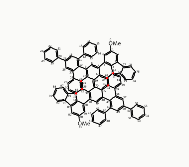 COc1cc2c3c(c1)-c1cc(-c4c(-c5ccccc5)cc(-c5ccccc5)cc4-c4ccccc4)c4cc5c6c(cc(-c7c(-c8ccccc8)cc(-c8ccccc8)cc7-c7ccccc7)c7cc(c1c4c76)B3c1ccccc1-2)-c1cc(OC)cc2c1B5c1ccccc1-2